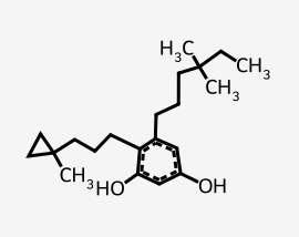 CCC(C)(C)CCCc1cc(O)cc(O)c1CCCC1(C)CC1